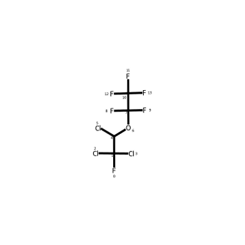 FC(Cl)(Cl)C(Cl)OC(F)(F)C(F)(F)F